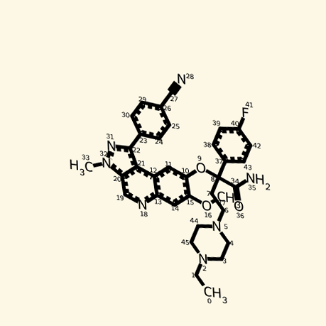 CCN1CCN(CCC(Oc2cc3c(cc2OC)ncc2c3c(-c3ccc(C#N)cc3)nn2C)(C(N)=O)c2ccc(F)cc2)CC1